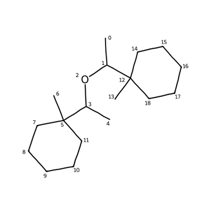 CC(OC(C)C1(C)CCCCC1)C1(C)CCCCC1